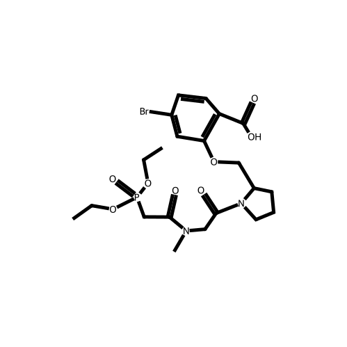 CCOP(=O)(CC(=O)N(C)CC(=O)N1CCCC1COc1cc(Br)ccc1C(=O)O)OCC